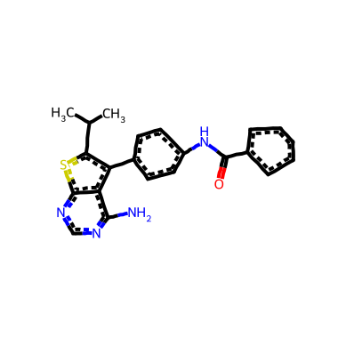 CC(C)c1sc2ncnc(N)c2c1-c1ccc(NC(=O)c2ccccc2)cc1